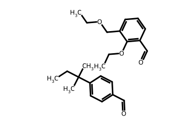 CCC(C)(C)c1ccc(C=O)cc1.CCOCc1cccc(C=O)c1OCC